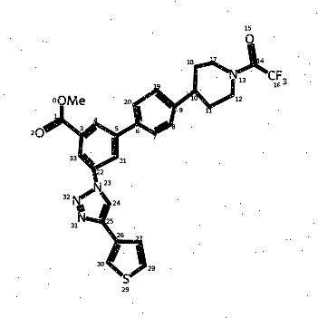 COC(=O)c1cc(-c2ccc(C3CCN(C(=O)C(F)(F)F)CC3)cc2)cc(-n2cc(-c3ccsc3)nn2)c1